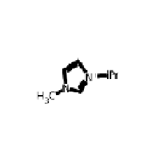 CC(C)[n+]1ccn(C)c1